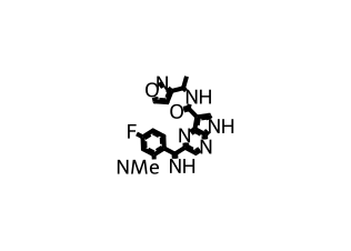 CNc1cc(F)ccc1C(=N)c1cnc2[nH]cc(C(=O)NC(C)c3ccon3)c2n1